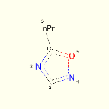 CCCc1ncno1